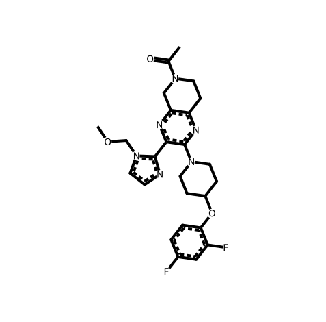 COCn1ccnc1-c1nc2c(nc1N1CCC(Oc3ccc(F)cc3F)CC1)CCN(C(C)=O)C2